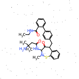 CCNC(=O)c1ccccc1-c1ccc(CC2C(=O)C(NC(=O)CC(C)(C)N)N(C)Sc3ccccc32)cc1